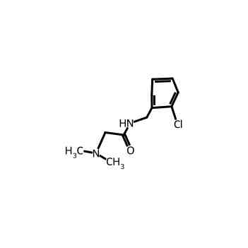 CN(C)CC(=O)NCc1ccccc1Cl